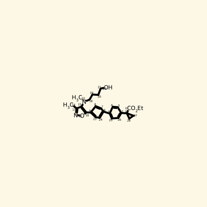 CCOC(=O)C1(c2ccc(-c3ccc(-c4onc(C)c4N(C)CCCCO)cc3)cc2)CC1